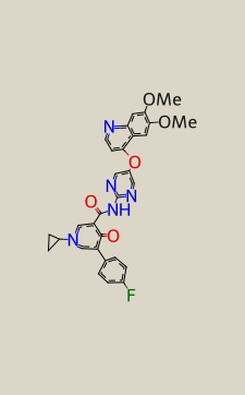 COc1cc2nccc(Oc3cnc(NC(=O)c4cn(C5CC5)cc(-c5ccc(F)cc5)c4=O)nc3)c2cc1OC